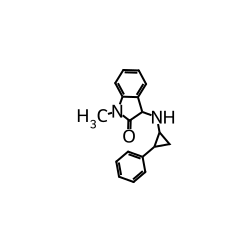 CN1C(=O)C(NC2CC2c2ccccc2)c2ccccc21